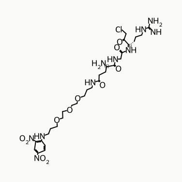 N=C(N)NCCC[C@H](NC(=O)CNC(=O)[C@@H](N)CCC(=O)NCCCOCCOCCOCCCNc1ccc([N+](=O)[O-])cc1[N+](=O)[O-])C(=O)CCl